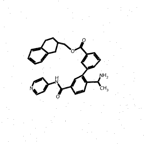 CC(N)c1ccc(C(=O)Nc2ccncc2)cc1-c1cccc(C(=O)OCC2CCc3ccccc3C2)c1